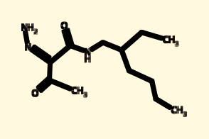 CCCCC(CC)CNC(=O)/C(=N\N)C(C)=O